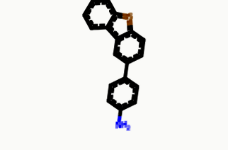 Nc1ccc(-c2ccc3sc4ccccc4c3c2)cc1